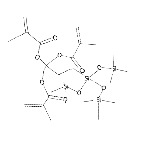 C=C(C)C(=O)OC(CC[Si](O[Si](C)(C)C)(O[Si](C)(C)C)O[Si](C)(C)C)(OC(=O)C(=C)C)OC(=O)C(=C)C